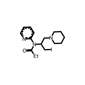 CCC(=O)N(c1ccccn1)C(CI)CN1CCCCC1